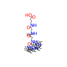 [13CH3][15N]1[13CH2][13CH2][15N]([13CH2][13CH]2[13CH2][13CH2][13CH2][15N]2CC(=O)NCC[13C](=O)NCCC(=O)NCCCC(=O)O)[13CH2][13CH2]1